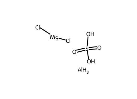 O=S(=O)(O)O.[AlH3].[Cl][Mg][Cl]